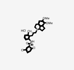 COc1cc2c3c(c1OC)CCC3N(CCCc1c(C)cccc1NS(=O)(=O)c1cc(Cl)ccc1Cl)CC2.Cl